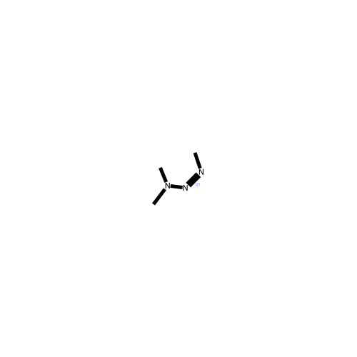 C/N=N\N(C)C